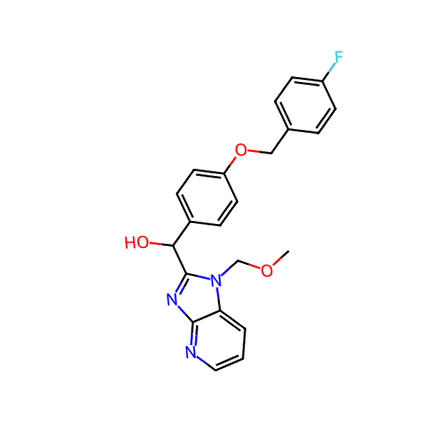 COCn1c(C(O)c2ccc(OCc3ccc(F)cc3)cc2)nc2ncccc21